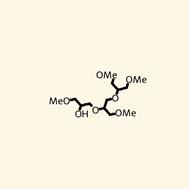 COCC(O)COC(COC)COC(COC)COC